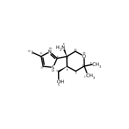 CC1(C)C[C@@H](CO)[C@](N)(c2nc(I)cs2)CO1